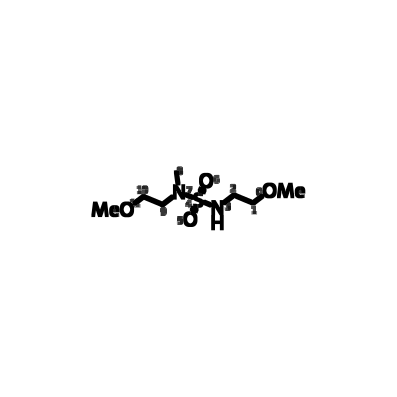 COCCNS(=O)(=O)N(C)CCOC